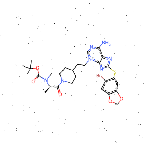 C[C@H](C(=O)N1CCC(CCn2cnc(N)c3nc(Sc4cc5c(cc4Br)OCO5)nc2-3)CC1)N(C)C(=O)OC(C)(C)C